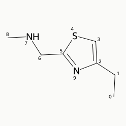 CCc1csc(CNC)n1